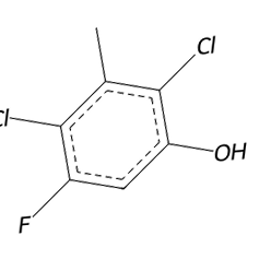 Cc1c(Cl)c(O)cc(F)c1Cl